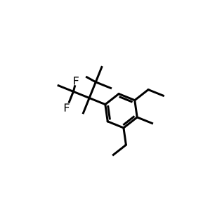 CCc1cc(C(C)(C(C)(C)C)C(C)(F)F)cc(CC)c1C